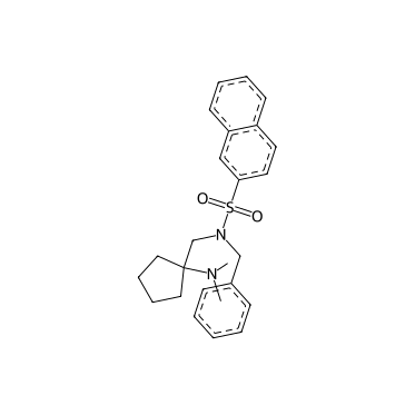 CN(C)C1(CN(Cc2ccccc2)S(=O)(=O)c2ccc3ccccc3c2)CCCC1